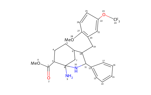 COC(=O)C1CCC2CC1(N)NC(c1ccccc1)C2Cc1cc(OC(F)(F)F)ccc1OC